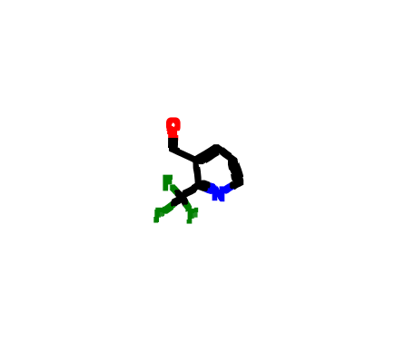 O=Cc1cccnc1C(F)(F)F